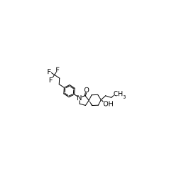 CCC[C@]1(O)CC[C@]2(CCN(c3ccc(CCC(F)(F)F)cc3)C2=O)CC1